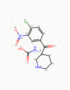 O=C(O)N[C@]1(C(=O)c2ccc(Cl)c([N+](=O)[O-])c2)CCCNC1